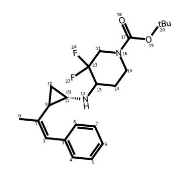 CC(=Cc1ccccc1)C1C[C@@H]1NC1CCN(C(=O)OC(C)(C)C)CC1(F)F